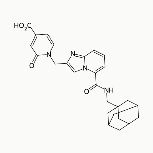 O=C(O)c1ccn(Cc2cn3c(C(=O)NCC45CC6CC(CC(C6)C4)C5)cccc3n2)c(=O)c1